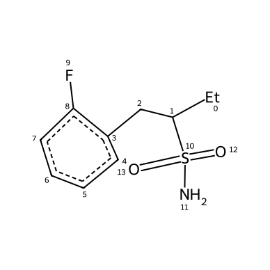 CCC(Cc1ccccc1F)S(N)(=O)=O